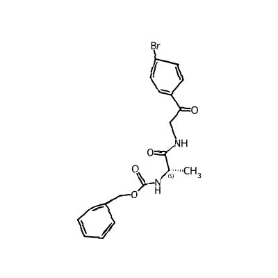 C[C@H](NC(=O)OCc1ccccc1)C(=O)NCC(=O)c1ccc(Br)cc1